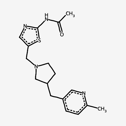 CC(=O)Nc1ncc(CN2CCC(Cc3ccc(C)nc3)C2)s1